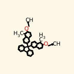 C#CCOc1ccc2cc(C3(c4ccc5c(C)c(OCC#C)ccc5c4)c4ccccc4-c4ccccc43)ccc2c1C